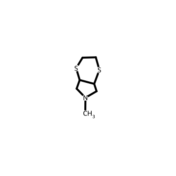 CN1CC2SCCSC2C1